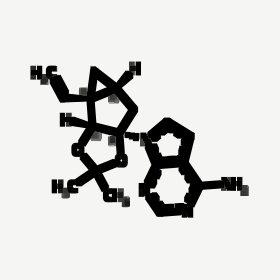 C=C[C@@]12C[C@@H]1C[C@@]1(n3ccc4c(N)ncnc43)OC(C)(C)O[C@H]21